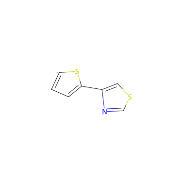 [c]1ccc(-c2cscn2)s1